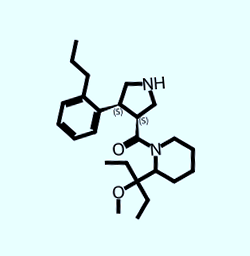 CCCc1ccccc1[C@H]1CNC[C@H]1C(=O)N1CCCCC1C(CC)(CC)OC